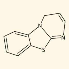 C1=CN=C2Sc3ccccc3N2C1